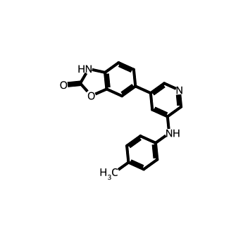 Cc1ccc(Nc2cncc(-c3ccc4[nH]c(=O)oc4c3)c2)cc1